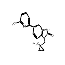 CC1(Cn2c(=O)[nH]c3cc(-c4cccc(C(F)(F)F)n4)ccc32)CC1